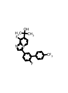 CC(C)(O)c1ccn2c(-c3ccc(F)c(-c4ccc(C(F)(F)F)cc4)c3)cnc2c1F